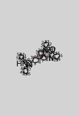 C1=C(c2ccc(-c3ccc(-c4nc5ccccc5c5oc6c7ccccc7n(-c7ccccc7)c6c45)cc3)cc2)N=C(c2ccccc2)NC1c1ccccc1